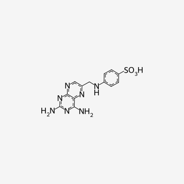 Nc1nc(N)c2nc(CNc3ccc(S(=O)(=O)O)cc3)cnc2n1